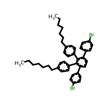 CCCCCCCc1ccc(-c2c(-c3ccc(Br)cc3)ccc(-c3ccc(Br)cc3)c2-c2ccc(CCCCCCC)cc2)cc1